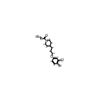 CC(C)(C)OC(=O)N1CCC(CCCOc2ccc(Br)c(Cl)c2)CC1